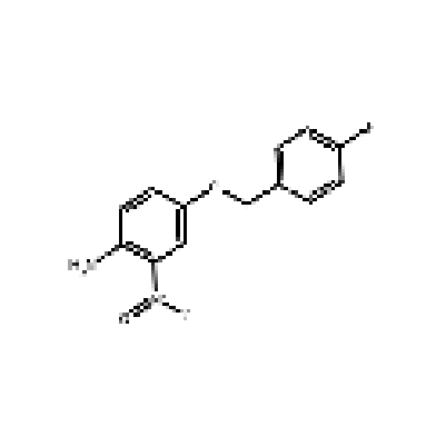 Nc1ccc(OCc2ccc(F)cc2)cc1[N+](=O)[O-]